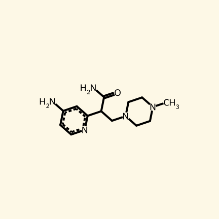 CN1CCN(CC(C(N)=O)c2cc(N)ccn2)CC1